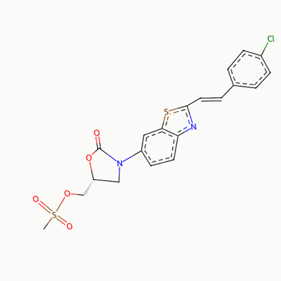 CS(=O)(=O)OC[C@H]1CN(c2ccc3nc(C=Cc4ccc(Cl)cc4)sc3c2)C(=O)O1